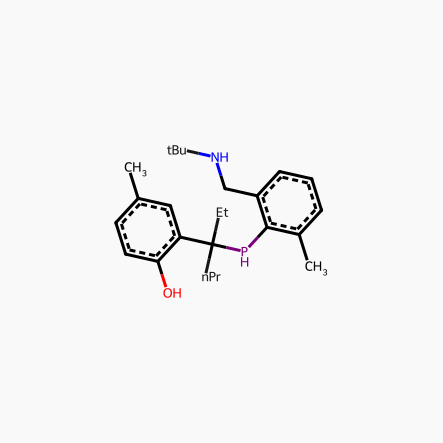 CCCC(CC)(Pc1c(C)cccc1CNC(C)(C)C)c1cc(C)ccc1O